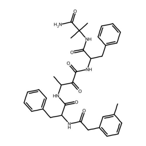 Cc1cccc(CC(=O)NC(Cc2ccccc2)C(=O)NC(C)C(=O)C(=O)NC(Cc2ccccc2)C(=O)NC(C)(C)C(N)=O)c1